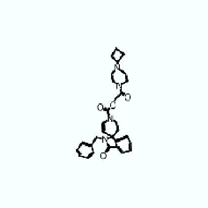 O=C(OCC(=O)N1CCN(C2CCC2)CC1)N1C=CC2(CC1)c1ccccc1C(=O)N2Cc1ccccc1